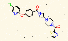 O=C(c1ccc(Oc2ccc(Cl)cn2)cc1)N1CC(N2CCN(C(=O)c3nccs3)CC2)C1